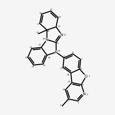 Cc1cnc2oc3ccc(N4C5=NC6C=CC=CC6(C)N5c5ccccc54)cc3c2c1